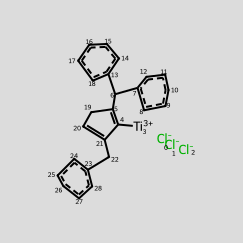 [Cl-].[Cl-].[Cl-].[Ti+3][C]1=C(C(c2ccccc2)c2ccccc2)CC=C1Cc1ccccc1